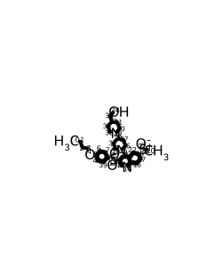 CCCCOc1ccc(S(=O)(=O)c2cnc3ccc([S+](C)[O-])cc3c2N2CCC(N3CCC(CO)CC3)CC2)cc1